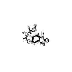 COC(C)Oc1cc2cnc(=O)[nH]c2cc1OC(C)OC